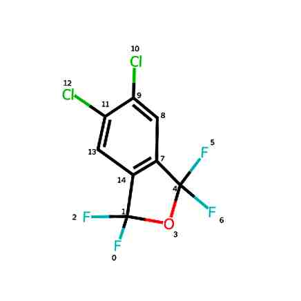 FC1(F)OC(F)(F)c2cc(Cl)c(Cl)cc21